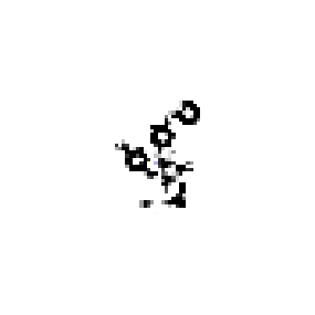 O=C(O)C1CC1Cn1c(=O)[nH]/c(=N\c2ccc(Oc3ccccn3)c(F)c2)n(Cc2ccc(Cl)cc2)c1=O